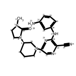 CN1CCN([C@@H]2CCCN(c3cnc(C#N)c(Nc4cccc(N)c4)n3)C2)C1=O